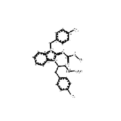 CCOC(=O)NCC(Cc1ccc(C)cc1)n1c(=NC(=O)OC(C)(C)C)n(Cc2ccc(C)cc2)c2ccccc21